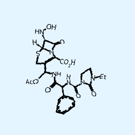 CCN1CCN(C(=O)NC(C(=O)NC(OC(C)=O)C2=C(C(=O)O)N3C(=O)[C@H](NO)[C@H]3SC2)c2ccccc2)C1=O